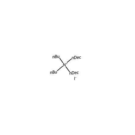 CCCCCCCCCC[N+](CCCC)(CCCC)CCCCCCCCCC.[I-]